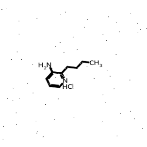 CCCCc1ncccc1N.Cl